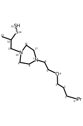 CC(C)CCCOCCN1CCN(CC(C)SS)CC1